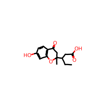 CCC(CC(=O)O)C1(C)CC(=O)c2ccc(O)cc2O1